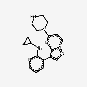 c1cnc(NC2CC2)c(-c2cnn3ccc(N4CCNCC4)nc23)c1